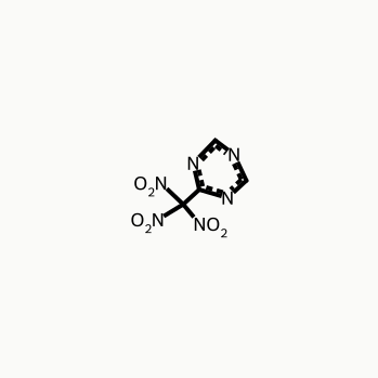 O=[N+]([O-])C(c1ncncn1)([N+](=O)[O-])[N+](=O)[O-]